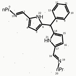 CCC/N=C/c1ccc(C(c2ccccc2)c2ccc(/C=N/CCC)[nH]2)[nH]1